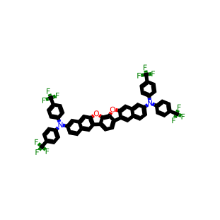 FC(F)(F)c1ccc(N(c2ccc(C(F)(F)F)cc2)c2ccc3cc4c(cc3c2)oc2c4ccc3c4cc5ccc(N(c6ccc(C(F)(F)F)cc6)c6ccc(C(F)(F)F)cc6)cc5cc4oc32)cc1